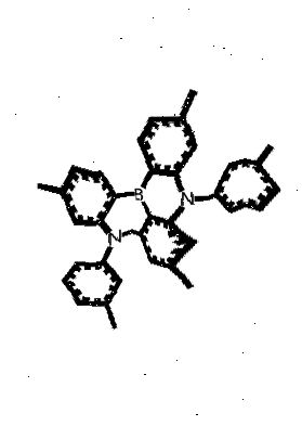 Cc1cccc(N2c3cc(C)ccc3B3c4ccc(C)cc4N(c4cccc(C)c4)c4cc(C)cc2c43)c1